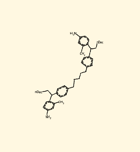 CCCCCCCCCCCC(c1ccc(CCCCCc2ccc(C(CCCCCCCCCCC)c3ccc(N)cc3C)cc2)cc1)c1ccc(N)cc1C